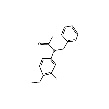 CCc1ccc(N(Cc2ccccc2)C(C)=O)cc1F